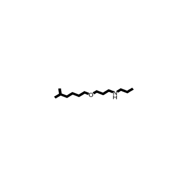 CCCNCCCOCCCCC(C)C